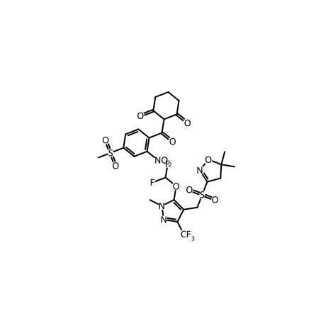 CS(=O)(=O)c1ccc(C(=O)C2C(=O)CCCC2=O)c([N+](=O)[O-])c1.Cn1nc(C(F)(F)F)c(CS(=O)(=O)C2=NOC(C)(C)C2)c1OC(F)F